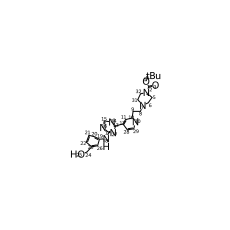 CC(C)(C)OC(=O)N1CCN(CCc2cc(-c3ncnc(Nc4cccc(CO)c4)n3)ccn2)CC1